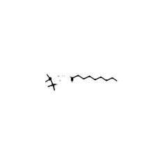 CCCCCCCCC(=O)OB1OC(C)(C)C(C)(C)O1